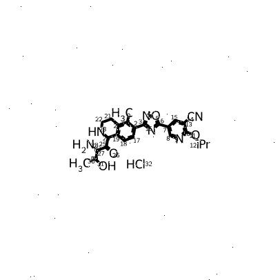 Cc1c(-c2noc(-c3cnc(OC(C)C)c(C#N)c3)n2)ccc2c1CCNC2C(=O)[C@@H](N)[C@@H](C)O.Cl